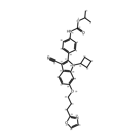 CC(C)OC(=O)Nc1ccc(-c2c(C#N)c3ccc(OCCCc4ncco4)cc3n2C2CCC2)cc1